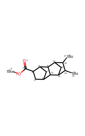 CC(C)(C)OC(=O)C1CC2CC1C1C3CC(C21)C(C(C)(C)C)C3C(C)(C)C